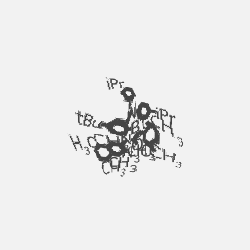 Cc1cc2c(cc1N1C3=C(B4c5cc(C(C)C)ccc5N(c5ccc(C(C)C)cc5)c5cc(C(C)(C)C)cc1c54)C1C(O3)C(C)(C)CCC1(C)C)C(C)(C)CCC2(C)C